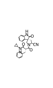 N#C[C@@H]1C[C@@]2(CN1C(=O)[C@H](Cc1ccccc1)C(=O)NC1CC1)C(=O)Nc1ccccc12